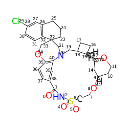 O=C1NS(=O)(=O)CCO[C@H]2CCO[C@@H](C2)[C@H]2CCC2CN2CC3(CCCc4cc(Cl)ccc43)COc3ccc1cc32